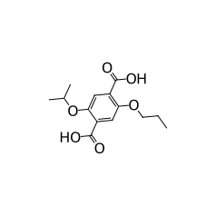 CCCOc1cc(C(=O)O)c(OC(C)C)cc1C(=O)O